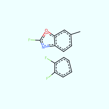 Cc1ccc2nc(F)oc2c1.Fc1ccccc1F